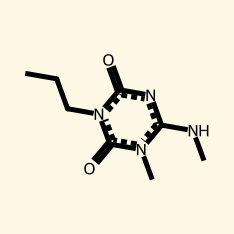 CCCn1c(=O)nc(NC)n(C)c1=O